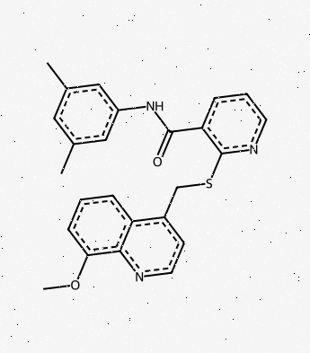 COc1cccc2c(CSc3ncccc3C(=O)Nc3cc(C)cc(C)c3)ccnc12